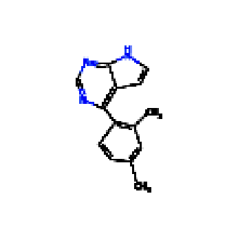 Cc1ccc(-c2ncnc3[nH]ccc23)c(C)c1